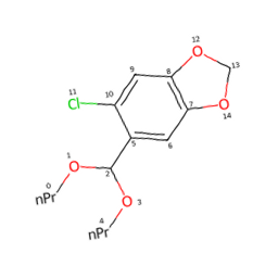 CCCOC(OCCC)c1cc2c(cc1Cl)OCO2